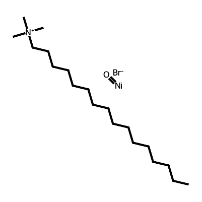 CCCCCCCCCCCCCCCC[N+](C)(C)C.[Br-].[O]=[Ni]